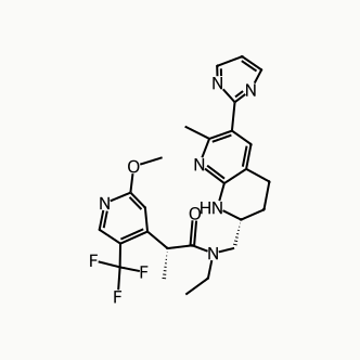 CCN(C[C@H]1CCc2cc(-c3ncccn3)c(C)nc2N1)C(=O)[C@H](C)c1cc(OC)ncc1C(F)(F)F